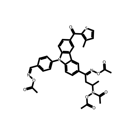 CC(=O)ON=C(CC(C)N(OC(C)=O)C(C)=O)c1ccc2c(c1)c1cc(C(=O)c3sccc3C)ccc1n2-c1ccc(/C=N\OC(C)=O)cc1